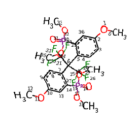 COc1ccc(C(c2ccc(OC)cc2P(=O)(OC)OC)(C(F)(F)F)C(F)(F)F)c(P(=O)(OC)OC)c1